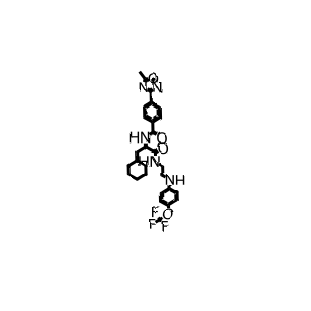 Cc1nc(-c2ccc(C(=O)NC(CC3CCCCC3)C(=O)NCCNc3ccc(OC(F)(F)F)cc3)cc2)no1